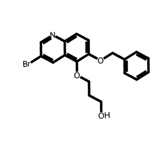 OCCCOc1c(OCc2ccccc2)ccc2ncc(Br)cc12